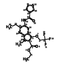 CCOC(=O)c1c(OCC(F)(F)F)c2cc(NC(=O)c3ccsc3)c(CC)nc2n1C